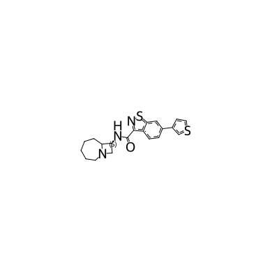 O=C(N[C@H]1CN2CCCCCC12)c1nsc2cc(-c3ccsc3)ccc12